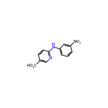 O=C(O)c1ccc(Nc2cccc([N+](=O)[O-])c2)nc1